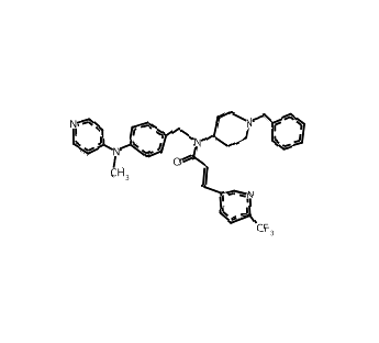 CN(c1ccncc1)c1ccc(CN(C(=O)/C=C/c2ccc(C(F)(F)F)nc2)C2CCN(Cc3ccccc3)CC2)cc1